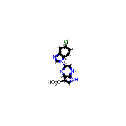 O=C(O)c1c[nH]c2ncc(-n3cnc4cc(Cl)ccc43)nc12